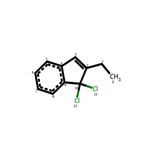 CCC1=Cc2ccccc2C1(Cl)Cl